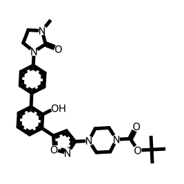 CN1CCN(c2ccc(-c3cccc(-c4cc(N5CCN(C(=O)OC(C)(C)C)CC5)no4)c3O)cc2)C1=O